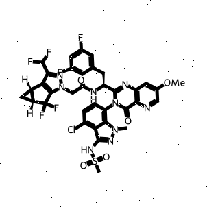 COc1cnc2c(=O)n(-c3ccc(Cl)c4c(NS(C)(=O)=O)nn(C)c34)c([C@H](Cc3cc(F)cc(F)c3)NC(=O)Cn3nc(C(F)F)c4c3C(F)(F)[C@@H]3C[C@H]43)nc2c1